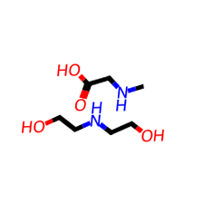 CNCC(=O)O.OCCNCCO